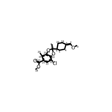 COC=C1CCC(C2(C)Oc3c(Cl)cc(C(=O)OC)c(C)c3O2)CC1